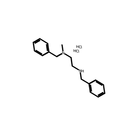 CN(CCNCc1ccccc1)Cc1ccccc1.Cl.Cl